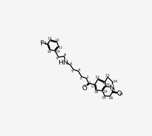 O=C(CCCCCNCCc1cccc(F)c1)c1cc2c3c(c1)CCN3C(=O)CC2